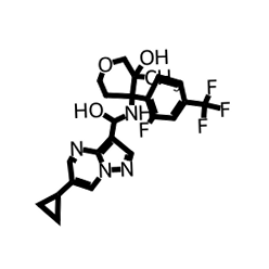 CC1(O)COCCC1(NC(O)c1cnn2cc(C3CC3)cnc12)c1ccc(C(F)(F)F)cc1F